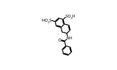 O=C(NC1C=Cc2c(cc(S(=O)(=O)O)cc2S(=O)(=O)O)C1)c1ccccc1